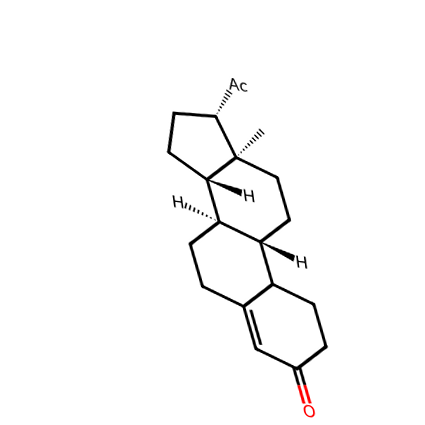 CC(=O)[C@H]1CC[C@H]2[C@@H]3CCC4=CC(=O)CCC4[C@H]3CC[C@]12C